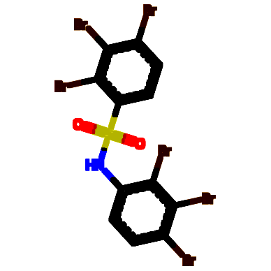 O=S(=O)(Nc1ccc(Br)c(Br)c1Br)c1ccc(Br)c(Br)c1Br